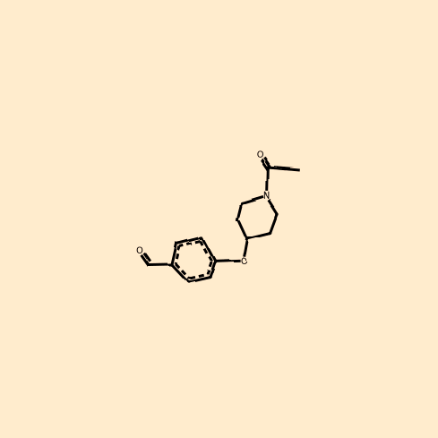 CC(=O)N1CCC(Oc2ccc(C=O)cc2)CC1